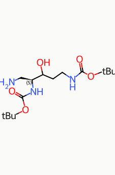 CC(C)(C)OC(=O)NCCC(O)[C@H](CN)NC(=O)OC(C)(C)C